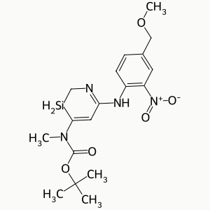 COCc1ccc(NC2=NC[SiH2]C(N(C)C(=O)OC(C)(C)C)=C2)c([N+](=O)[O-])c1